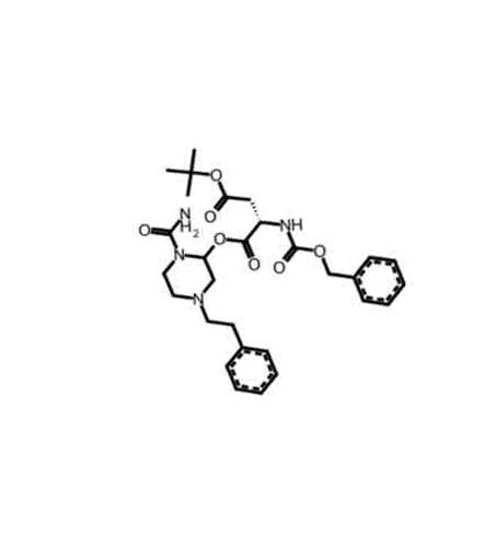 CC(C)(C)OC(=O)C[C@H](NC(=O)OCc1ccccc1)C(=O)OC1CN(CCc2ccccc2)CCN1C(N)=O